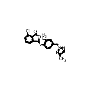 Cc1cc(Cn2ncc(C(F)(F)F)n2)ccc1N=C1OC(=O)c2c(Cl)cccc21